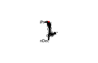 CCCCCCCCCCCCCCCC(=O)OC[C@H](COP(=O)([O-])OCC[N+](C)(C)C)OC(=O)CCC(=O)O[C@H]1CC[C@@]2(C)C(=CC[C@H]3[C@@H]4CC[C@H]([C@H](C)CCCC(C)C)[C@@]4(C)CC[C@@H]32)C1